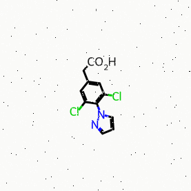 O=C(O)Cc1cc(Cl)c(-n2cccn2)c(Cl)c1